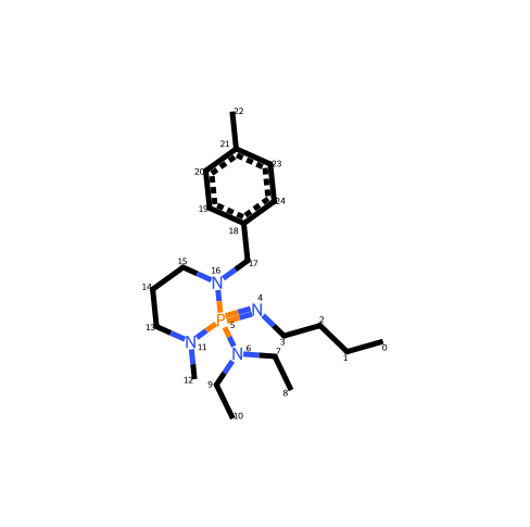 CCCCN=P1(N(CC)CC)N(C)CCCN1Cc1ccc(C)cc1